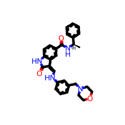 C[C@@H](NC(=O)c1ccc2c(c1)C(=CNc1cccc(CN3CCOCC3)c1)C(=O)N2)c1ccccc1